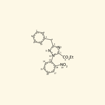 CCOC(=O)c1nc(Cc2ccccc2)nn1-c1ccccc1[N+](=O)[O-]